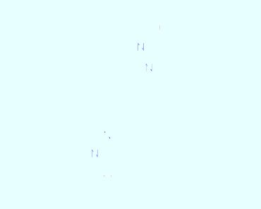 c1ccc(-c2nc(-c3ccc(-c4cccc(-c5cccc(-c6nc(-c7ccccc7)nc7oc8ccccc8c67)c5)c4)cc3)c3c(n2)oc2ccccc23)cc1